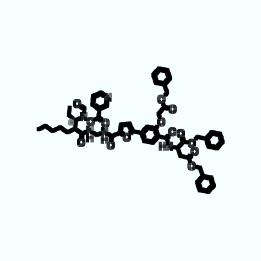 CCCCCC(C(=O)NCNC(=O)c1ccc(-c2ccc(C(=O)NC(CC(=O)OCc3ccccc3)C(=O)OCc3ccccc3)c(OCC(=O)OCc3ccccc3)c2)o1)[C@@H](CC)N(C=O)OC(=O)c1cccnc1